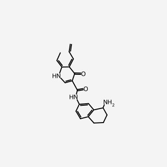 C=C/C=c1/c(=O)c(C(=O)Nc2ccc3c(c2)C(N)CCC3)c[nH]/c1=C/C